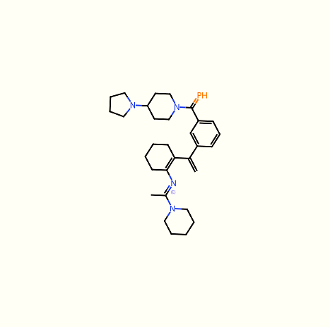 C=C(C1=C(/N=C(\C)N2CCCCC2)CCCC1)c1cccc(C(=P)N2CCC(N3CCCC3)CC2)c1